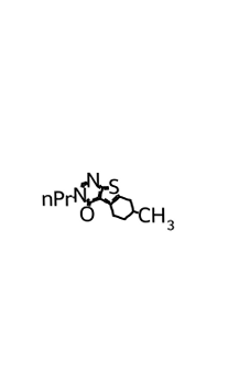 CCCn1cnc2sc3c(c2c1=O)CCC(C)C3